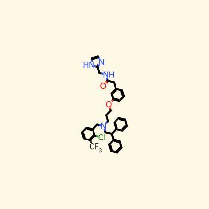 O=C(Cc1cccc(OCCCN(Cc2cccc(C(F)(F)F)c2Cl)CC(c2ccccc2)c2ccccc2)c1)NCc1ncc[nH]1